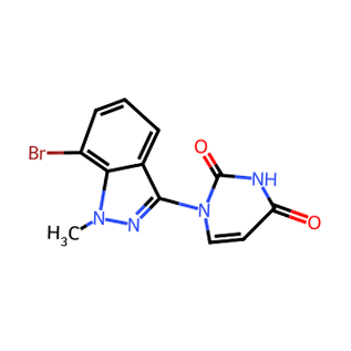 Cn1nc(-n2ccc(=O)[nH]c2=O)c2cccc(Br)c21